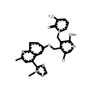 COc1ncc(Cl)c(COc2ccc3nc(C)cc(-c4ncnn4C)c3c2)c1Cn1cccc(C(F)(F)F)c1=O